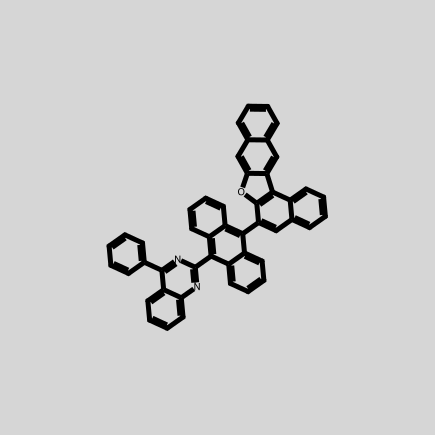 c1ccc(-c2nc(-c3c4ccccc4c(-c4cc5ccccc5c5c4oc4cc6ccccc6cc45)c4ccccc34)nc3ccccc23)cc1